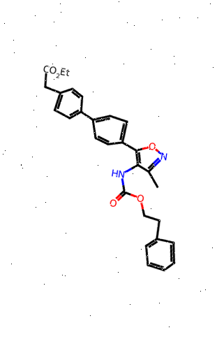 CCOC(=O)Cc1ccc(-c2ccc(-c3onc(C)c3NC(=O)OCCc3ccccc3)cc2)cc1